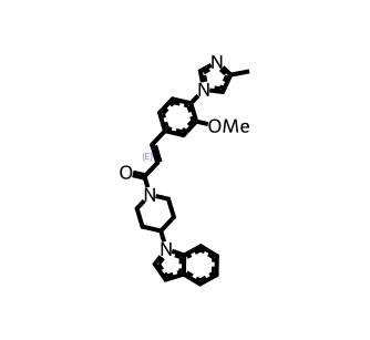 COc1cc(/C=C/C(=O)N2CCC(n3ccc4ccccc43)CC2)ccc1-n1cnc(C)c1